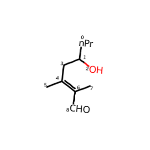 CCCC(O)CC(C)=C(C)C=O